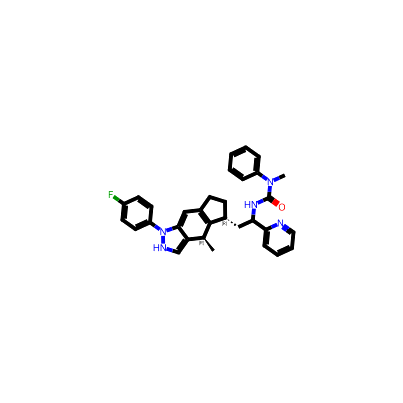 C[C@H]1C2=CNN(c3ccc(F)cc3)C2=CC2=C1[C@@H](CC(NC(=O)N(C)c1ccccc1)c1ccccn1)CC2